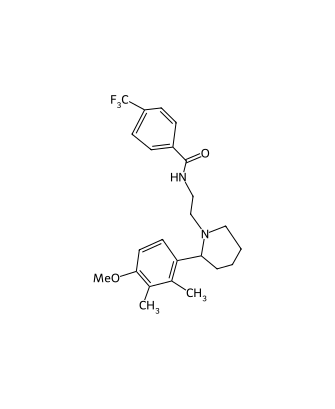 COc1ccc(C2CCCCN2CCNC(=O)c2ccc(C(F)(F)F)cc2)c(C)c1C